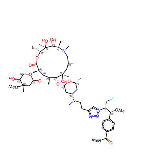 CC[C@H]1OC(=O)[C@H](C)[C@@H](O[C@H]2C[C@@](C)(OC)[C@@H](O)[C@H](C)O2)[C@H](C)[C@@H](O[C@H]2C[C@@H](N(C)CCc3cn([C@H](CF)[C@H](OC)c4ccc(C(=O)NC)cc4)nn3)C[C@@H](C)O2)[C@](C)(O)C[C@@H](C)CN(C)[C@H](C)[C@@H](O)[C@]1(C)O